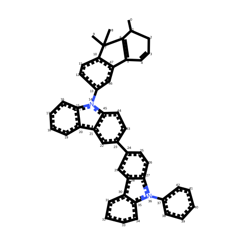 CC1CC=CC2=C1C(C)(C)c1ccc(-n3c4ccccc4c4cc(-c5ccc6c(c5)c5ccccc5n6-c5ccccc5)ccc43)cc12